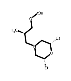 CC[C@@H]1CN(C[C@@H](C)COC(C)(C)C)C[C@H](CC)O1